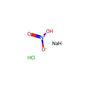 Cl.O=[N+]([O-])O.[NaH]